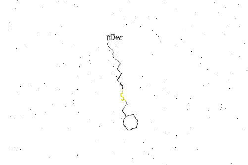 CCCCCCCCCCCCCCCCCCSCCC1CCCCC1